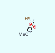 COc1ccc(S(=O)(=O)C[C@H](C)CS)cc1